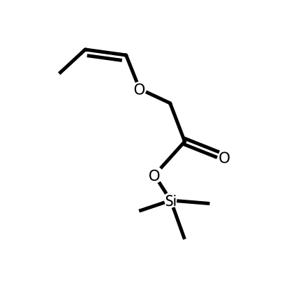 C/C=C\OCC(=O)O[Si](C)(C)C